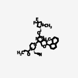 C=CC(=O)N1CCN(c2nc(OC[C@@H]3CC(F)(F)CN3C)nc3c2COC(c2cccc4cccc(C)c24)C3)C[C@@H]1CC#N